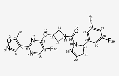 Cc1oncc1-c1ncc(F)c(OC2CN(C(=O)N3N=CCC3c3cc(F)cc(F)c3)C2)n1